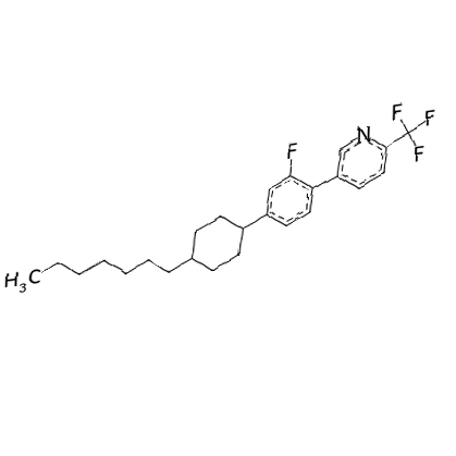 CCCCCCCC1CCC(c2ccc(-c3ccc(C(F)(F)F)nc3)c(F)c2)CC1